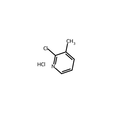 Cc1cccnc1Cl.Cl